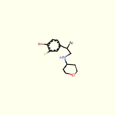 CC(=O)C(CNC1CCOCC1)c1ccc(Br)c(F)c1